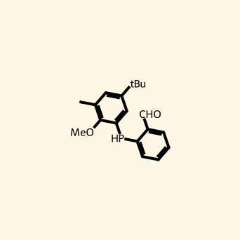 COc1c(C)cc(C(C)(C)C)cc1Pc1ccccc1C=O